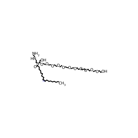 CCCCCCCC/C=C\CCCCCCCC(=O)N(CCNCCN)C(CO)OCCOCCOCCOCCOCCOCCOCCOCCOCCOCCOCCO